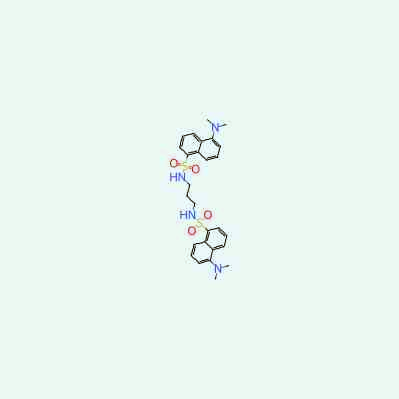 CN(C)c1cccc2c(S(=O)(=O)NCCCNS(=O)(=O)c3cccc4c(N(C)C)cccc34)cccc12